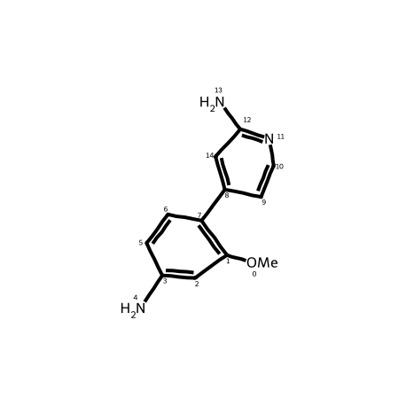 COc1cc(N)ccc1-c1ccnc(N)c1